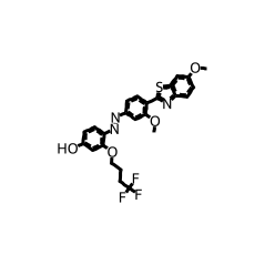 COc1ccc2nc(-c3ccc(/N=N/c4ccc(O)cc4OCCCC(F)(F)F)cc3OC)sc2c1